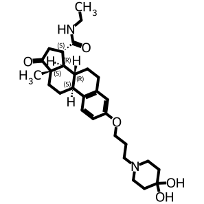 CCNC(=O)[C@H]1CC(=O)[C@@]2(C)CC[C@@H]3c4ccc(OCCCN5CCC(O)(O)CC5)cc4CC[C@H]3[C@H]12